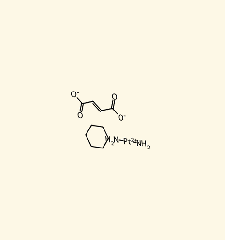 C1CCCCC1.O=C([O-])/C=C/C(=O)[O-].[NH2][Pt+2][NH2]